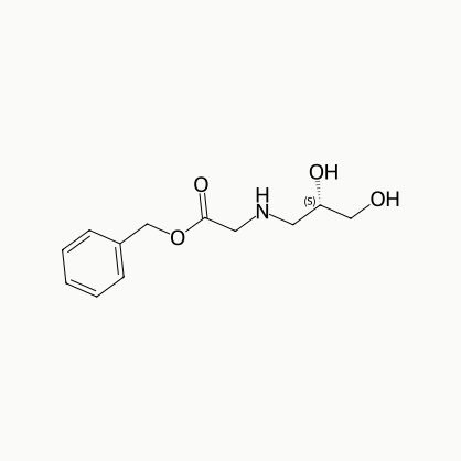 O=C(CNC[C@H](O)CO)OCc1ccccc1